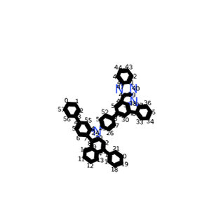 c1ccc(-c2ccc3c4c5ccccc5c(-c5ccccc5)cc4n(-c4ccc(-c5cc6c7ccccc7n7c8nc9ccccc9nc8c(c5)c67)cc4)c3c2)cc1